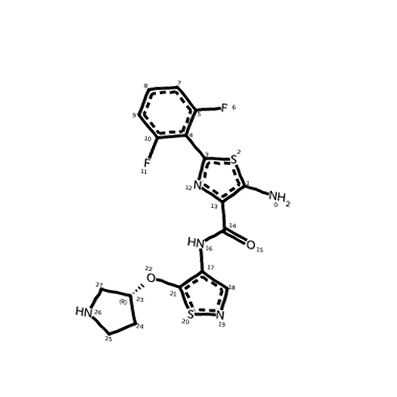 Nc1sc(-c2c(F)cccc2F)nc1C(=O)Nc1cnsc1O[C@@H]1CCNC1